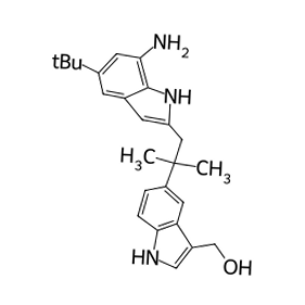 CC(C)(C)c1cc(N)c2[nH]c(CC(C)(C)c3ccc4[nH]cc(CO)c4c3)cc2c1